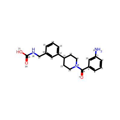 Nc1cccc(C(=O)N2CCC(c3cccc(CNC(=O)O)c3)CC2)c1